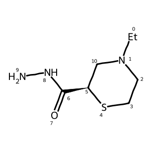 CCN1CCS[C@@H](C(=O)NN)C1